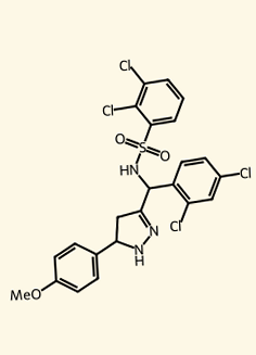 COc1ccc(C2CC(C(NS(=O)(=O)c3cccc(Cl)c3Cl)c3ccc(Cl)cc3Cl)=NN2)cc1